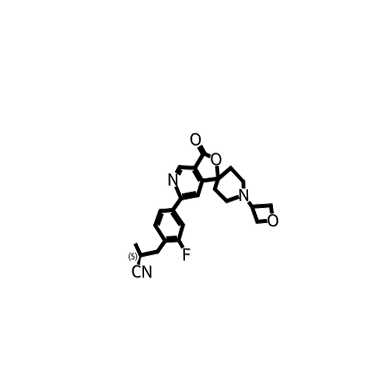 C[C@H](C#N)Cc1ccc(-c2cc3c(cn2)C(=O)OC32CCN(C3COC3)CC2)cc1F